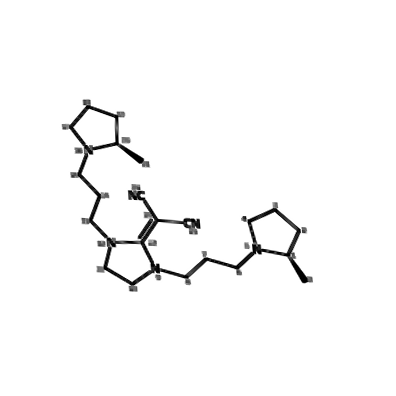 C[C@@H]1CCCN1CCCN1CCN(CCCN2CCC[C@H]2C)C1=C(C#N)C#N